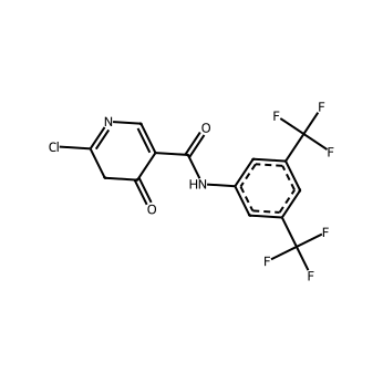 O=C1CC(Cl)=NC=C1C(=O)Nc1cc(C(F)(F)F)cc(C(F)(F)F)c1